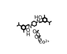 CC(=O)[O-].CC(=O)[O-].Cc1cc(C(C)C)cc(C=NC2CCC(N=Cc3cc(C(C)C)cc(C)c3O)CC2)c1O.[Co+2]